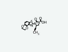 CC#CC1CN(C(=O)O)C(=O)N1c1nc2c3c(ccc2s1)OCCO3